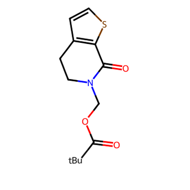 CC(C)(C)C(=O)OCN1CCc2ccsc2C1=O